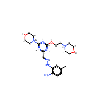 Cc1ccc(N)c(N/N=C/c2nc(OCCN3CCOCC3)nc(N3CCOCC3)n2)c1